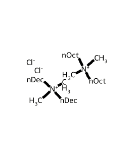 CCCCCCCCCC[N+](C)(C)CCCCCCCCCC.CCCCCCCC[N+](C)(C)CCCCCCCC.[Cl-].[Cl-]